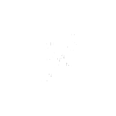 COc1cccc(-c2cc(C(=O)O)c(=O)n(-c3cc(N4CCOCC4)ccc3N=O)n2)c1